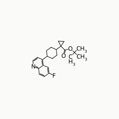 CC(C)(C)OC(=O)C1(C2CCC(c3ccnc4ccc(F)cc34)CC2)CC1